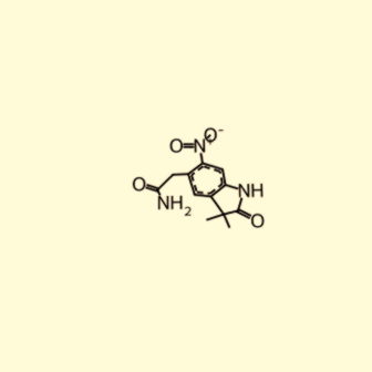 CC1(C)C(=O)Nc2cc([N+](=O)[O-])c(CC(N)=O)cc21